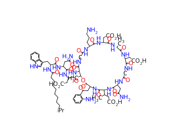 CC(C)CCCCCCCCC(=O)NC(Cc1c[nH]c2ccccc12)C(=O)NC(CC(N)=O)C(=O)NC(CC(=O)O)C(=O)NC1C(=O)NCC(=O)NC(CCCN)C(=O)NC(CC(=O)O)C(=O)NC(C)C(=O)NC(CC(=O)O)C(=O)NCC(=O)NC(CC(N)=O)C(=O)NC(C(C)CC(=O)O)C(=O)NC(CC(=O)c2ccccc2N)C(=O)OC1C